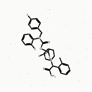 Cc1ccccc1C(C(N)=O)[N+]12CCC(CC1)[C@@H](OC(=O)N(Cc1ccc(F)cc1)c1ccccc1F)C2